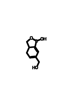 OCC1=CCC2COB(O)C2=C1